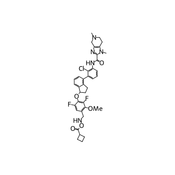 COc1c(CNOC(=O)C2CCC2)cc(F)c(OC2CCc3c(-c4cccc(NC(=O)c5nc6c(n5C)CCN(C)C6)c4Cl)cccc32)c1F